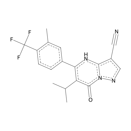 Cc1cc(-c2[nH]c3c(C#N)cnn3c(=O)c2C(C)C)ccc1C(F)(F)F